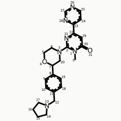 Cn1c(N2CCOC(c3ccc(CN4CCCC4)cc3)C2)nc(-c2ccncn2)cc1=O